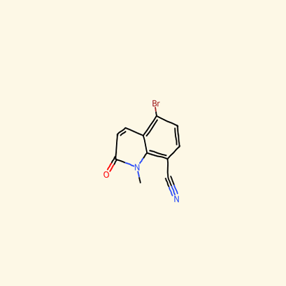 Cn1c(=O)ccc2c(Br)ccc(C#N)c21